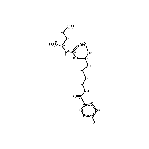 Cc1ccc(C(=O)NCCCC[C@@H](OC=O)OC(=O)N[C@@H](CCC(=O)O)C(=O)O)cc1